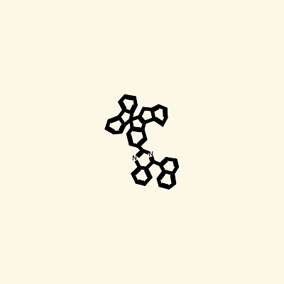 c1ccc2c(c1)CC1=C2c2cc(-c3nc(-c4cccc5ccccc45)c4ccccc4n3)ccc2C12c1ccccc1-c1ccccc12